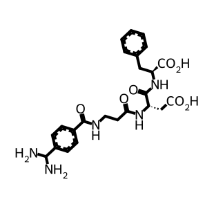 NC(N)c1ccc(C(=O)NCCC(=O)N[C@@H](CC(=O)O)C(=O)N[C@@H](Cc2ccccc2)C(=O)O)cc1